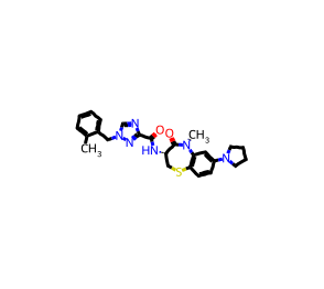 Cc1ccccc1Cn1cnc(C(=O)N[C@H]2CSc3ccc(N4CCCC4)cc3N(C)C2=O)n1